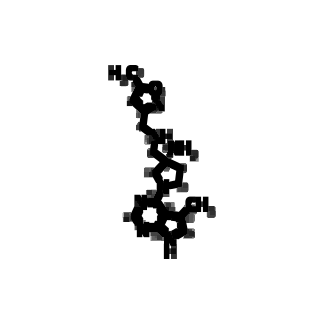 Cc1cc(CNC[C@@]2(N)CCN(c3ncnc4[nH]cc(C)c34)C2)no1